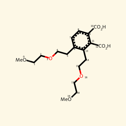 COCCOCCc1ccc(C(=O)O)c(C(=O)O)c1CCOCCOC